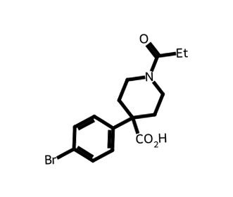 CCC(=O)N1CCC(C(=O)O)(c2ccc(Br)cc2)CC1